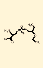 CCOC(CC)COP(=O)(O)OCC(N)C(=O)O